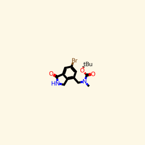 CN(Cc1cc(Br)cc2c1CNC2=O)C(=O)OC(C)(C)C